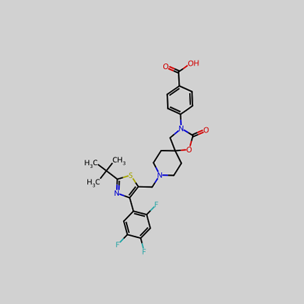 CC(C)(C)c1nc(-c2cc(F)c(F)cc2F)c(CN2CCC3(CC2)CN(c2ccc(C(=O)O)cc2)C(=O)O3)s1